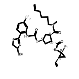 C=CCCCCN(C)C(=O)[C@@H]1C[C@H](OC(=O)Nc2cc(C(F)(F)F)ccc2C2=NC(C(C)(C)C)CS2)C[C@H]1C(=O)N[C@]1(CC)C[C@H]1C=C